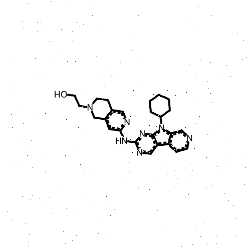 OCCN1CCc2cnc(Nc3ncc4c5ccncc5n(C5CCCCC5)c4n3)cc2C1